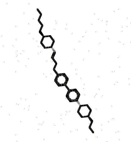 CCCCC[C@H]1CC[C@H](C=CCCc2ccc(-c3ccc([C@H]4CC[C@H](CCC)CC4)cc3)cc2)CC1